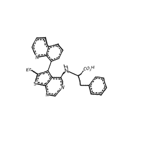 CCc1sc2ncnc(NC(Cc3ccccc3)C(=O)O)c2c1-c1cccc2cccnc12